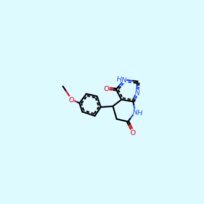 COc1ccc(C2CC(=O)Nc3nc[nH]c(=O)c32)cc1